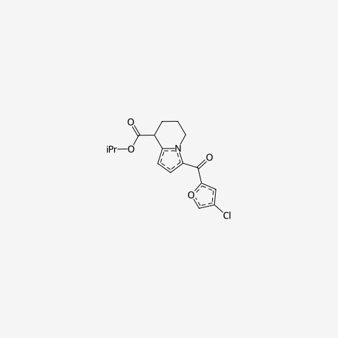 CC(C)OC(=O)C1CCCn2c(C(=O)c3cc(Cl)co3)ccc21